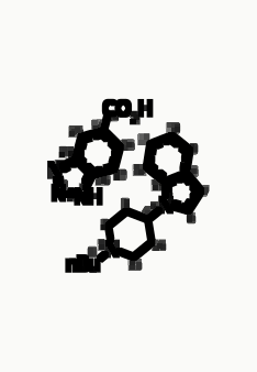 CCCCN1CCC(n2ccc3ccccc32)CC1.O=C(O)c1ccc2[nH]nnc2c1